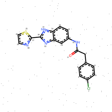 O=C(Cc1ccc(Cl)cc1)Nc1ccc2[nH]c(-c3nccs3)nc2c1